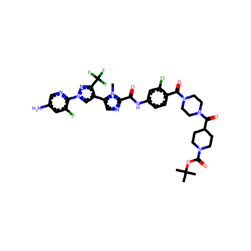 Cn1c(-c2cn(-c3ncc(N)cc3F)nc2C(F)(F)F)cnc1C(=O)Nc1ccc(C(=O)N2CCN(C(=O)C3CCN(C(=O)OC(C)(C)C)CC3)CC2)c(Cl)c1